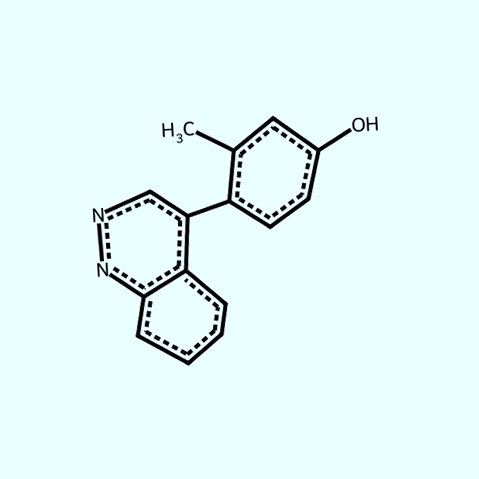 Cc1cc(O)ccc1-c1cnnc2ccccc12